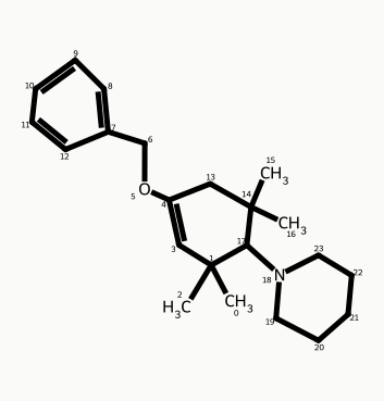 CC1(C)C=C(OCc2ccccc2)CC(C)(C)C1N1CCCCC1